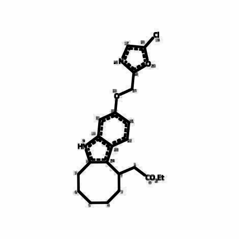 CCOC(=O)CC1CCCCCc2[nH]c3cc(OCc4ncc(Cl)o4)ccc3c21